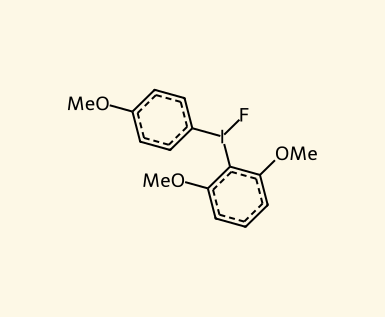 COc1ccc(I(F)c2c(OC)cccc2OC)cc1